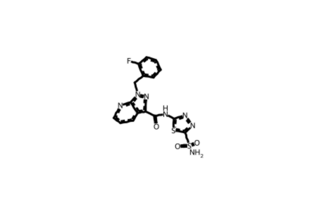 NS(=O)(=O)c1nnc(NC(=O)c2nn(Cc3ccccc3F)c3ncccc23)s1